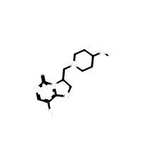 O=C(O)NC1CCN(CC2CNc3c([N+](=O)[O-])cnc(=O)n32)CC1